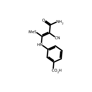 CSC(Nc1cccc(C(=O)O)c1)=C(C#N)C(N)=O